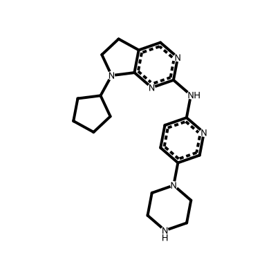 c1cc(Nc2ncc3c(n2)N(C2CCCC2)CC3)ncc1N1CCNCC1